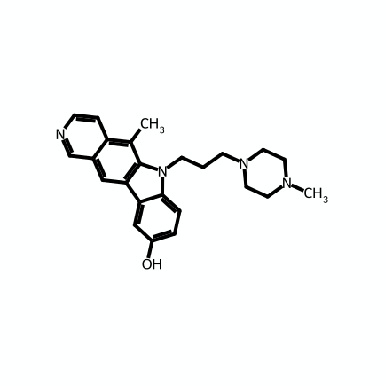 Cc1c2ccncc2cc2c3cc(O)ccc3n(CCCN3CCN(C)CC3)c12